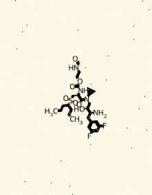 CCCC(CCC)S(=O)(=O)C[C@@H](NC(=O)OCCNC=O)C(=O)N(C[C@@H](O)[C@@H](N)Cc1cc(F)cc(F)c1)C1CC1